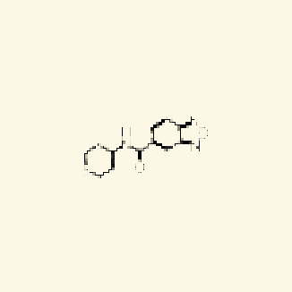 O=C(NC1CCSCC1)c1ccc2nonc2c1